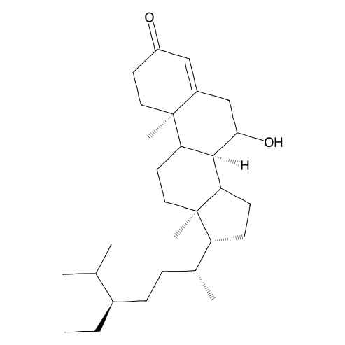 CC[C@H](CC[C@@H](C)[C@H]1CCC2[C@@H]3C(O)CC4=CC(=O)CC[C@]4(C)C3CC[C@@]21C)C(C)C